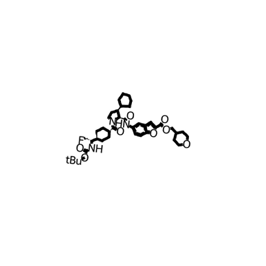 CC(C)(C)OC(=O)N[C@H](CF)[C@H]1CC[C@H](C(=O)N2CC[C@@H](C3CCCCC3)[C@H]2C(=O)Nc2ccc3oc(C(=O)OCC4CCOCC4)cc3c2)CC1